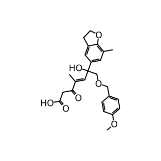 COc1ccc(COCC(O)(C=C(C)C(=O)CC(=O)O)c2cc(C)c3c(c2)CCO3)cc1